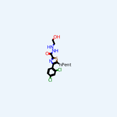 CCCCCc1sc(C(=O)NNCCO)nc1-c1ccc(Cl)cc1Cl